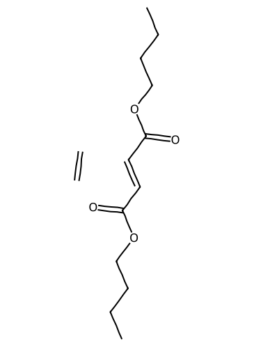 C=C.CCCCOC(=O)C=CC(=O)OCCCC